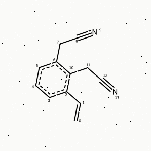 C=Cc1cccc(CC#N)c1CC#N